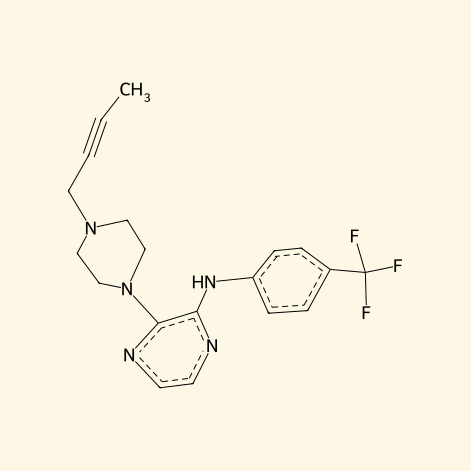 CC#CCN1CCN(c2nccnc2Nc2ccc(C(F)(F)F)cc2)CC1